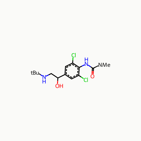 CNC(=O)Nc1c(Cl)cc(C(O)CNC(C)(C)C)cc1Cl